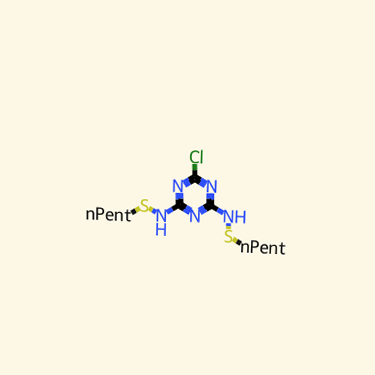 CCCCCSNc1nc(Cl)nc(NSCCCCC)n1